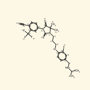 CC(C)NCc1ccc(OCCCN2C(=S)N(c3ccc(C#N)c(C(F)(F)F)c3)C(=O)C2(C)C)c(F)c1